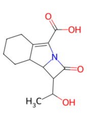 CC(O)C1C(=O)N2C(C(=O)O)=C3CCCCC3C12